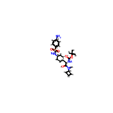 CN(C(=O)[C@@H](NC(=O)OC(C)(C)C)[C@H]1CC[C@H](NS(=O)(=O)c2ccc(N)cc2)CC1)C1CCC1